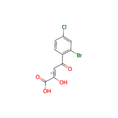 O=C(O)/C(O)=C/C(=O)c1ccc(Cl)cc1Br